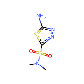 CN(C)S(=O)(=O)c1nnc(N)s1